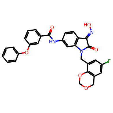 O=C(Nc1ccc2c(c1)N(Cc1cc(F)cc3c1OCOC3)C(=O)/C2=N/O)c1cccc(Oc2ccccc2)c1